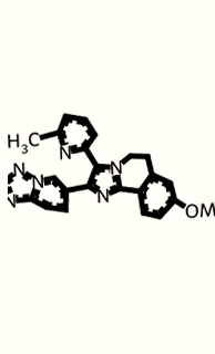 COc1ccc2c(c1)CCn1c-2nc(-c2ccc3ncnn3c2)c1-c1cccc(C)n1